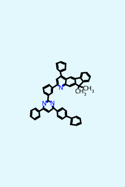 CC1(C)c2ccccc2-c2cc3c(-c4ccccc4)cc(-c4cccc(-c5nc(-c6ccccc6)cc(-c6ccc(-c7ccccc7)cc6)n5)c4)nc3cc21